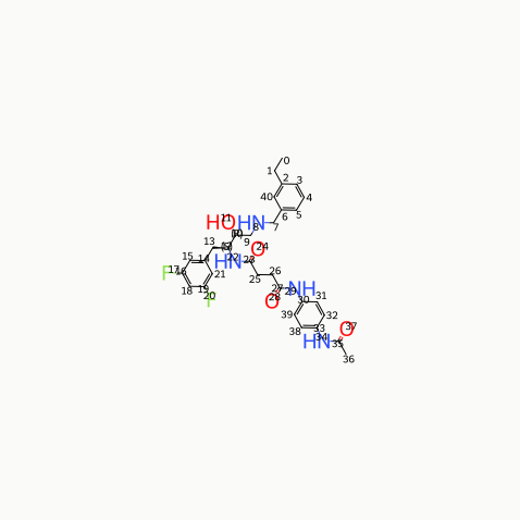 CCc1cccc(CNC[C@@H](O)[C@H](Cc2cc(F)cc(F)c2)NC(=O)CCC(=O)Nc2ccc(NC(C)=O)cc2)c1